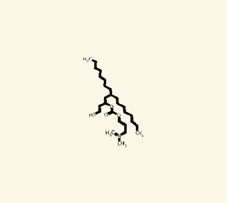 CCCCCCCCC(CCCCCCCC)CC(CCO)OC(=O)OCCCN(C)C